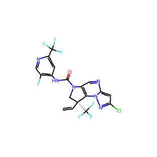 C=C[C@@]1(C(F)(F)F)CN(C(=O)Nc2cc(C(F)(F)F)ncc2F)c2cnc3cc(Cl)nn3c21